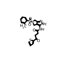 Cc1ccccc1S(=O)(=O)N1Cc2n[nH]c(NC(=O)CCC(=O)c3cccs3)c2C1